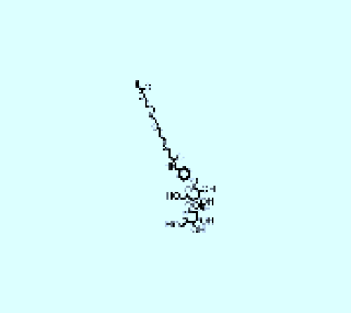 C=CC(=O)OCCOCCOCCCSCCC(=O)Nc1ccc(O[C@@H]2OC(CO)[C@@](O)(O[C@@H]3OC(CO)[C@H](O)[C@H](O)C3O)[C@@H](O)C2O)cc1